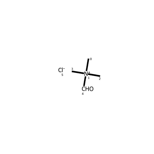 C[N+](C)(C)C=O.[Cl-]